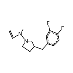 C=CN(C)N1CCC(Cc2ccc(F)c(F)c2)C1